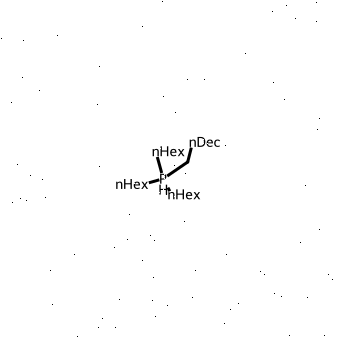 CCCCCCCCCCC[PH](CCCCCC)(CCCCCC)CCCCCC